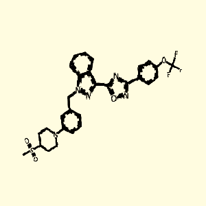 CS(=O)(=O)C1CCN(c2cccc(Cn3nc(-c4nc(-c5ccc(OC(F)(F)F)cc5)no4)c4ccccc43)c2)CC1